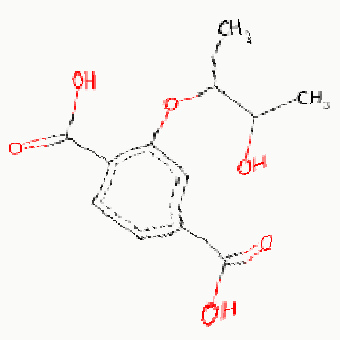 CC(O)C(C)Oc1cc(C(=O)O)ccc1C(=O)O